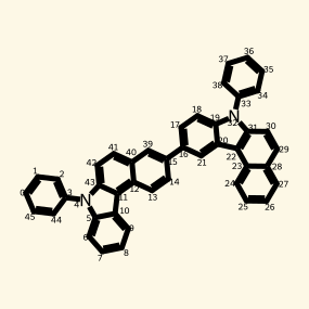 c1ccc(-n2c3ccccc3c3c4ccc(-c5ccc6c(c5)c5c7ccccc7ccc5n6-c5ccccc5)cc4ccc32)cc1